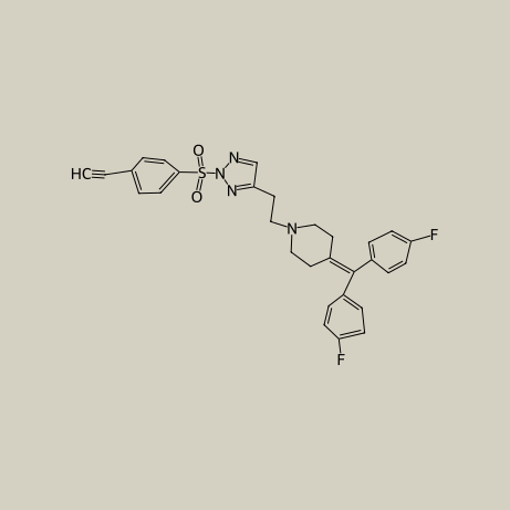 C#Cc1ccc(S(=O)(=O)n2ncc(CCN3CCC(=C(c4ccc(F)cc4)c4ccc(F)cc4)CC3)n2)cc1